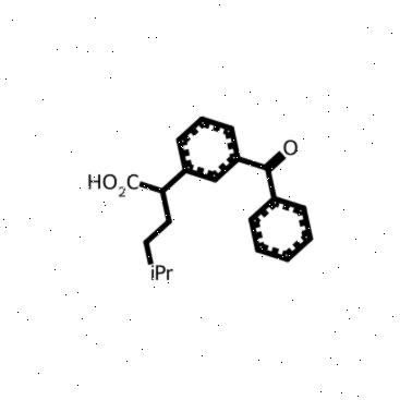 CC(C)CCC(C(=O)O)c1cccc(C(=O)c2ccccc2)c1